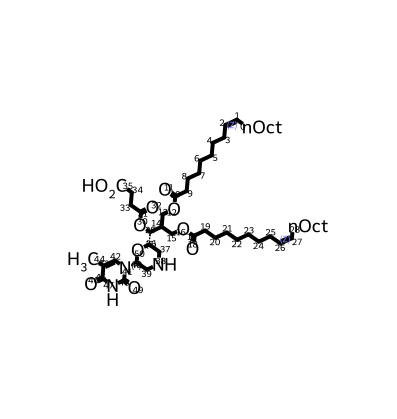 CCCCCCCC/C=C\CCCCCCCC(=O)OCC(COC(=O)CCCCCCC/C=C\CCCCCCCC)C(OC(=O)CCC(=O)O)[C@@H]1CNC[C@H](n2cc(C)c(=O)[nH]c2=O)O1